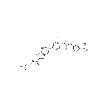 CN(C)CCNC(=O)c1cc2cc(-c3ccc(CC(=O)Nc4cc(C5(C(F)(F)F)CC5)on4)c(F)c3)cnc2[nH]1